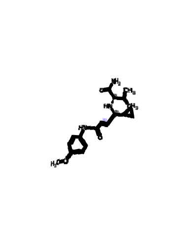 COc1ccc(NC(=O)/C=C/[C@@H](N[C@H](C(N)=O)C(C)C)C2CC2)cc1